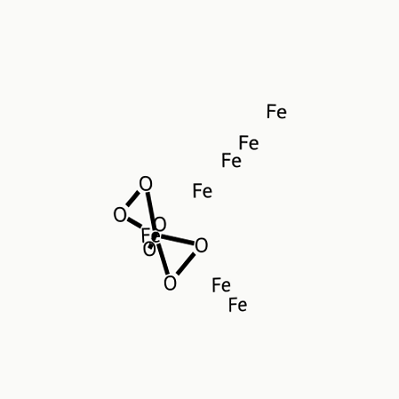 [Fe].[Fe].[Fe].[Fe].[Fe].[Fe].[O]1[O][Fe]123([O][O]2)[O][O]3